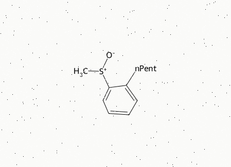 CCC[CH]Cc1ccccc1[S+](C)[O-]